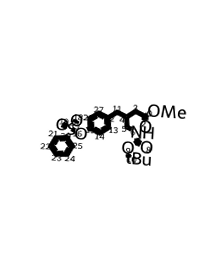 COC(=O)CC(CNC(=O)OC(C)(C)C)Cc1ccc(OS(=O)(=O)c2ccccc2)cc1